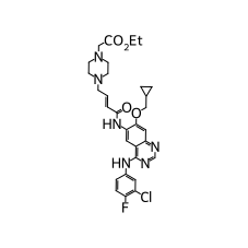 CCOC(=O)CN1CCN(CC=CC(=O)Nc2cc3c(Nc4ccc(F)c(Cl)c4)ncnc3cc2OCC2CC2)CC1